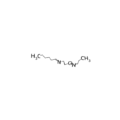 CC/C=N\OCC/N=C/CCCCC